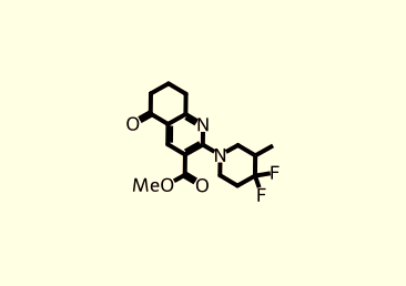 COC(=O)c1cc2c(nc1N1CCC(F)(F)C(C)C1)CCCC2=O